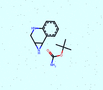 CC(C)(C)OC(N)=O.c1ccc2c(c1)NCC1NC21